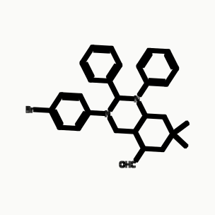 CC1(C)CC(C=O)C2CN(c3ccc(Br)cc3)C(c3ccccc3)N(c3ccccc3)C2C1